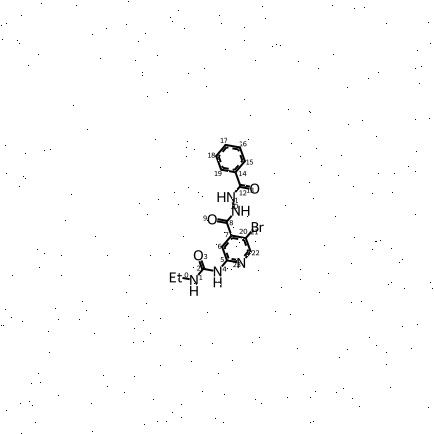 CCNC(=O)Nc1cc(C(=O)NNC(=O)c2ccccc2)c(Br)cn1